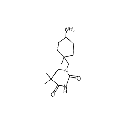 CC1(CN2CC(C)(C)C(=O)NC2=O)CCC(N)CC1